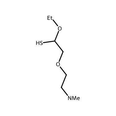 CCOC(S)COCCNC